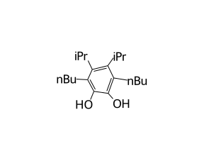 CCCCc1c(O)c(O)c(CCCC)c(C(C)C)c1C(C)C